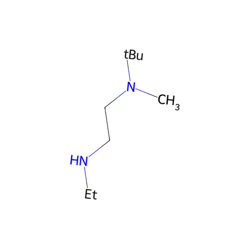 CCNCCN(C)C(C)(C)C